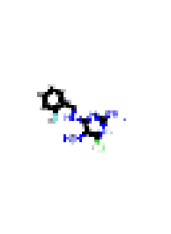 Nc1nc(Cl)c(N)c(NCc2ccccc2F)n1